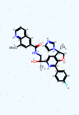 COc1cc(C(=O)NC[C@](O)(c2cc3c(c(-c4ccc(F)cc4)n2)OC[C@]3(C)n2ccnc2)C(F)(F)F)cc2cccnc12